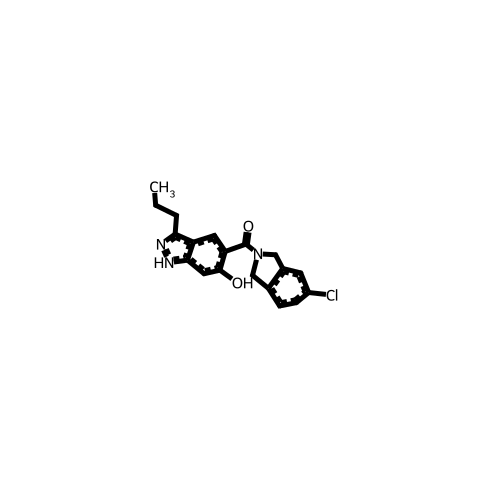 CCCc1n[nH]c2cc(O)c(C(=O)N3Cc4ccc(Cl)cc4C3)cc12